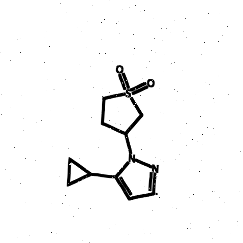 O=S1(=O)CCC(n2n[c]cc2C2CC2)C1